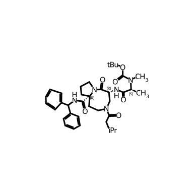 CC(C)CC(=O)N1CC[C@@]2(C(=O)NC(c3ccccc3)c3ccccc3)CCCN2C(=O)[C@H](NC(=O)[C@H](C)N(C)C(=O)OC(C)(C)C)C1